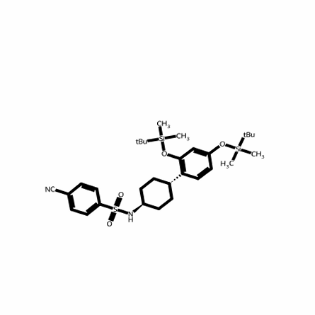 CC(C)(C)[Si](C)(C)Oc1ccc([C@H]2CC[C@H](NS(=O)(=O)c3ccc(C#N)cc3)CC2)c(O[Si](C)(C)C(C)(C)C)c1